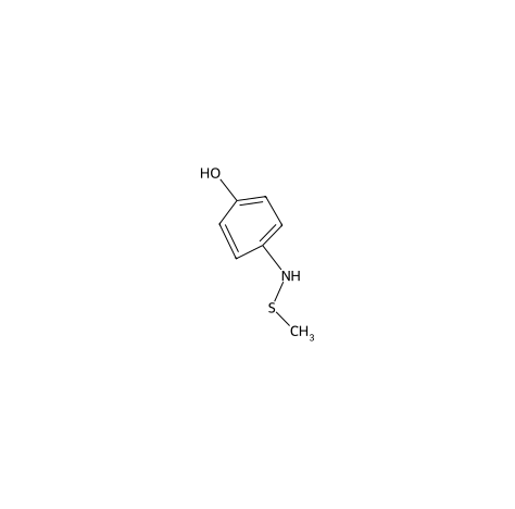 CSNc1ccc(O)cc1